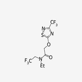 CCN(CC(F)(F)F)C(=O)COc1nc(C(F)(F)F)ns1